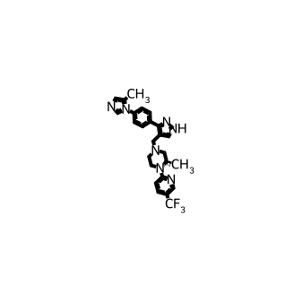 Cc1cncn1-c1ccc(-c2n[nH]cc2CN2CCN(c3ccc(C(F)(F)F)cn3)[C@H](C)C2)cc1